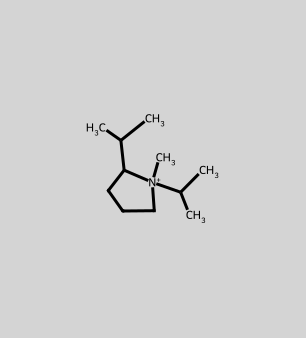 CC(C)C1CCC[N+]1(C)C(C)C